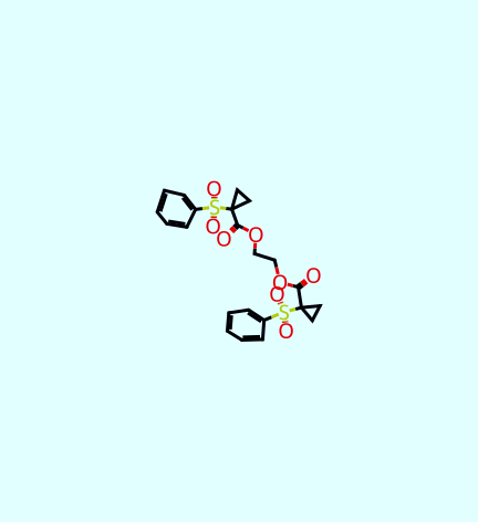 O=C(OCCOC(=O)C1(S(=O)(=O)c2ccccc2)CC1)C1(S(=O)(=O)c2ccccc2)CC1